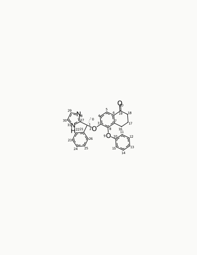 C[C@](Oc1ccc2c(c1Oc1ccccc1)CCCC2=O)(c1ccccc1)c1ncc[nH]1